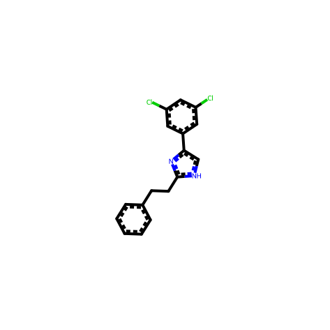 Clc1cc(Cl)cc(-c2c[nH]c(CCc3ccccc3)n2)c1